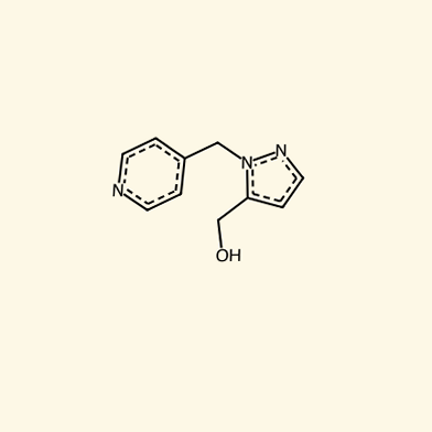 OCc1ccnn1Cc1ccncc1